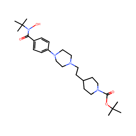 CC(C)(C)OC(=O)N1CCC(CCN2CCN(c3ccc(C(=O)N(O)C(C)(C)C)cc3)CC2)CC1